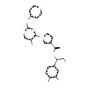 Cc1cnc(Nc2ccncc2)nc1-n1ccc(C(=O)NC(CO)c2ccc(F)c(Cl)c2)c1